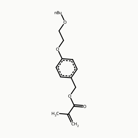 C=C(C)C(=O)OCc1ccc(OCCOCCCC)cc1